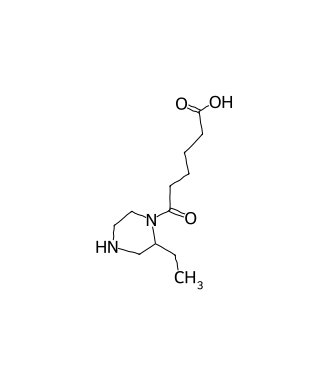 CCC1CNCCN1C(=O)CCCCC(=O)O